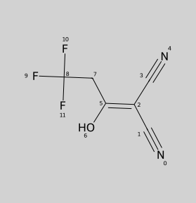 N#CC(C#N)=C(O)CC(F)(F)F